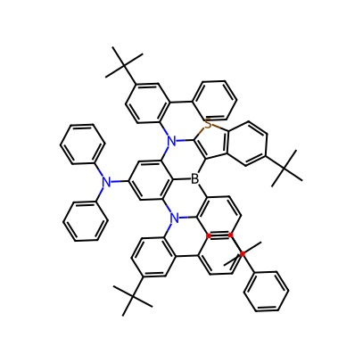 CC(C)(C)c1ccc(N2c3cc(C(C)(C)c4ccccc4)ccc3B3c4c2cc(N(c2ccccc2)c2ccccc2)cc4N(c2ccc(C(C)(C)C)cc2-c2ccccc2)c2sc4ccc(C(C)(C)C)cc4c23)c(-c2ccccc2)c1